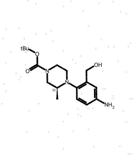 C[C@H]1CN(C(=O)OC(C)(C)C)CCN1c1ccc(N)cc1CO